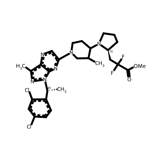 COC(=O)C(F)(F)C[C@@H]1CCCN1C1CCN(c2cnc3c(C)nn([C@H](C)c4ccc(Cl)cc4Cl)c3n2)CC1C